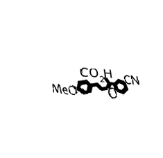 COc1ccc(CCc2oc3ccc(C#N)cc3c2CC(=O)O)cc1